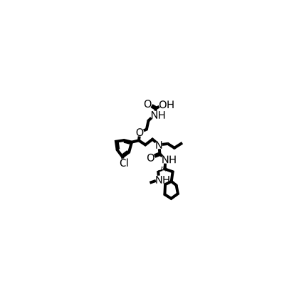 CCCN(CCC(OCCNC(=O)O)c1cccc(Cl)c1)C(=O)N[C@H](CNC)CC1CCCCC1